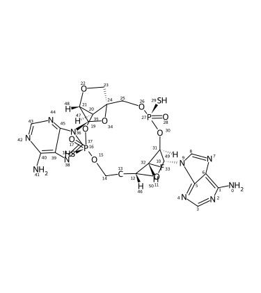 Nc1ncnc2c1ncn2[C@@H]1O[C@@H]2CCO[P@@](=O)(S)O[C@H]3[C@H]4OC[C@]3(CO[P@@](=O)(S)O[C@@H]1[C@@H]2F)O[C@H]4n1cnc2c(N)ncnc21